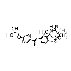 C[C@H](O)COc1cnc(/C(F)=C/c2ccc(F)c([C@]3(C)CS(=O)(=O)C(C)(C)C(N)=N3)c2)cn1